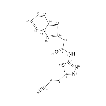 C#CCCc1nnc(NC(=O)Cc2cc3ccccn3n2)s1